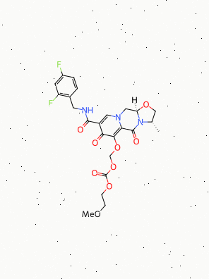 COCCOC(=O)OCOc1c2n(cc(C(=O)NCc3ccc(F)cc3F)c1=O)C[C@H]1OC[C@H](C)N1C2=O